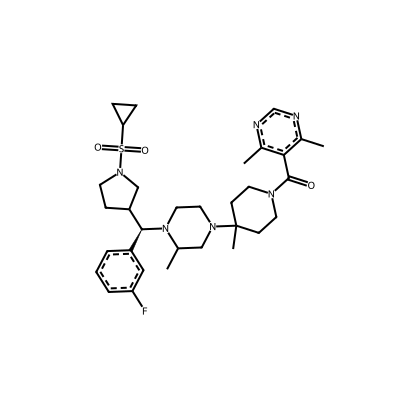 Cc1ncnc(C)c1C(=O)N1CCC(C)(N2CCN([C@@H](c3cccc(F)c3)C3CCN(S(=O)(=O)C4CC4)C3)C(C)C2)CC1